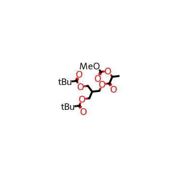 COC(=O)OC(C)C(=O)OCC(COC(=O)C(C)(C)C)COC(=O)C(C)(C)C